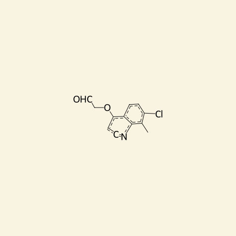 Cc1c(Cl)ccc2c(OCC=O)ccnc12